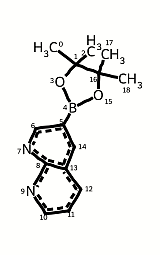 CC1(C)OB(c2cnc3ncccc3c2)OC1(C)C